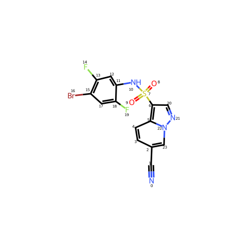 N#Cc1ccc2c(S(=O)(=O)Nc3cc(F)c(Br)cc3F)cnn2c1